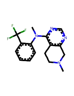 CN1CCc2c(ncnc2N(C)c2ccccc2C(F)(F)F)C1